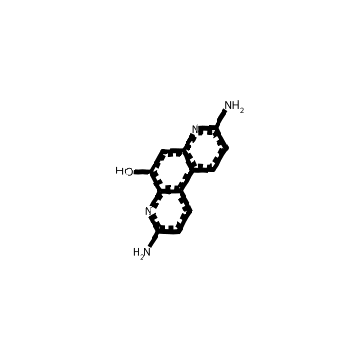 Nc1ccc2c(cc(O)c3nc(N)ccc32)n1